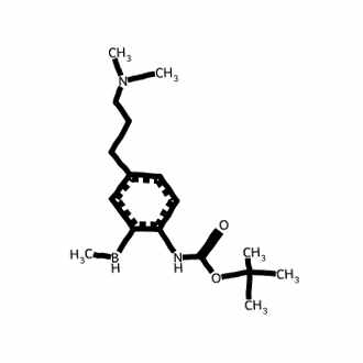 CBc1cc(CCCN(C)C)ccc1NC(=O)OC(C)(C)C